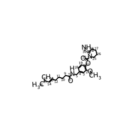 COc1cc(CNC(=O)CCCCC=CC(C)C)ccc1OC(=O)N1CCCC[C@H]1CN